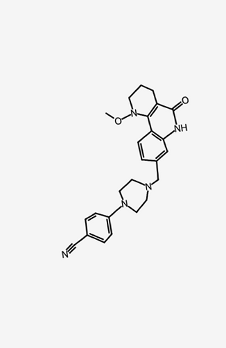 CON1CCCc2c1c1ccc(CN3CCN(c4ccc(C#N)cc4)CC3)cc1[nH]c2=O